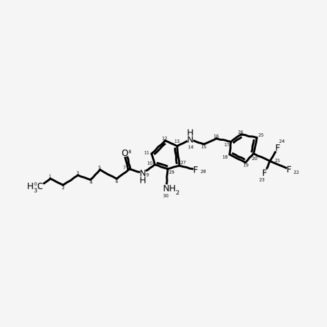 CCCCCCCC(=O)Nc1ccc(NCCc2ccc(C(F)(F)F)cc2)c(F)c1N